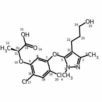 Cc1nn(C)c(Oc2cc(O[C@@H](C)C(=O)O)c(Cl)cc2Cl)c1CCCO